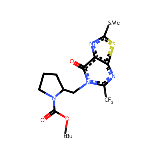 CSc1nc2c(=O)n(CC3CCCN3C(=O)OC(C)(C)C)c(C(F)(F)F)nc2s1